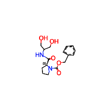 O=C(NC(CO)CO)[C@@H]1CCCN1C(=O)OCc1ccccc1